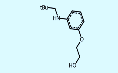 CC(C)(C)CNc1cccc(OCCO)c1